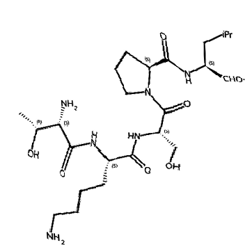 CC(C)C[C@@H]([C]=O)NC(=O)[C@@H]1CCCN1C(=O)[C@H](CO)NC(=O)[C@H](CCCCN)NC(=O)[C@@H](N)[C@@H](C)O